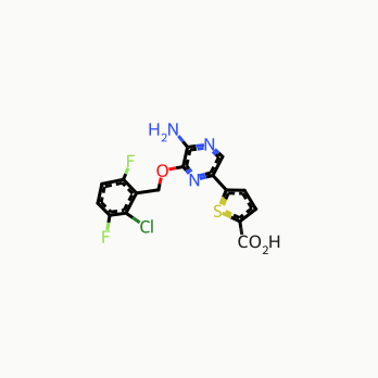 Nc1ncc(-c2ccc(C(=O)O)s2)nc1OCc1c(F)ccc(F)c1Cl